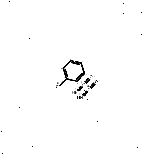 Clc1ccccc1.N=C=O.N=C=O